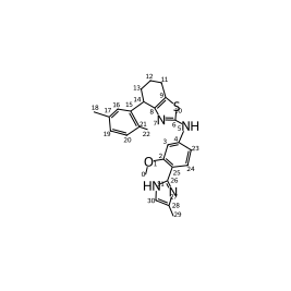 COc1cc(Nc2nc3c(s2)CCCC3c2cc(C)ccc2C)ccc1-c1nc(C)c[nH]1